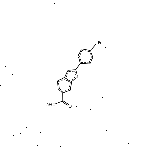 COC(=O)c1ccc2cc(-c3ccc(C(C)(C)C)cc3)sc2c1